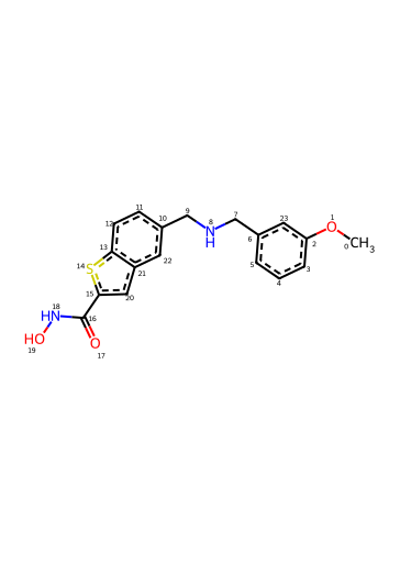 COc1cccc(CNCc2ccc3sc(C(=O)NO)cc3c2)c1